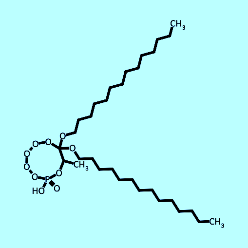 CCCCCCCCCCCCCCOC1(OCCCCCCCCCCCCCC)OOOOOP(=O)(O)OC1C